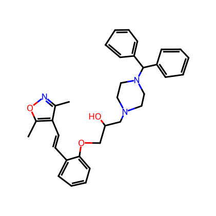 Cc1noc(C)c1/C=C/c1ccccc1OCC(O)CN1CCN(C(c2ccccc2)c2ccccc2)CC1